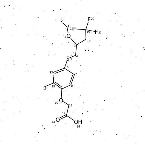 CCOC(CSc1ccc(OCC(=O)O)c(C)c1)CC(F)(F)F